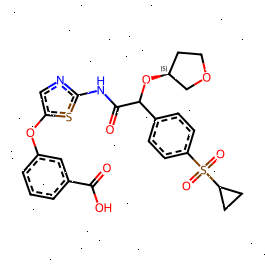 O=C(O)c1cccc(Oc2cnc(NC(=O)C(O[C@H]3CCOC3)c3ccc(S(=O)(=O)C4CC4)cc3)s2)c1